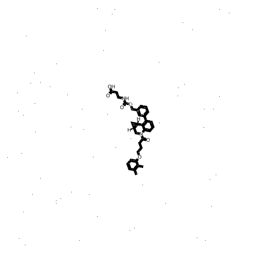 Cc1cccc(OCCCC(=O)N2C[C@@H]3C[C@@H]3c3c(-c4cccc(COC(=O)NCCC(=O)O)c4)cccc32)c1C